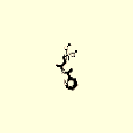 CO[SiH](CCC(C)SC(C)c1ccccn1)OC